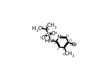 Cc1cc(NS(=O)(=O)C(C)C)ncc1Br